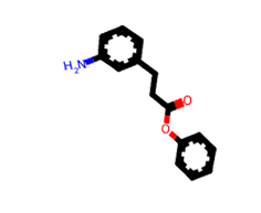 Nc1cccc(CCC(=O)Oc2ccccc2)c1